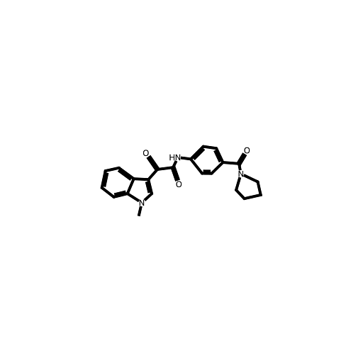 Cn1cc(C(=O)C(=O)Nc2ccc(C(=O)N3CCCC3)cc2)c2ccccc21